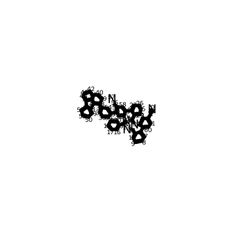 N#Cc1ccc(-c2ccccc2-c2nc(-c3ccccc3)nc(-c3ccccc3-c3ccc(-c4cccc(-c5ccc6cccc7c6c5-c5ccccc5-7)c4)c(C#N)c3)n2)cc1